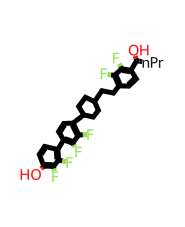 CCCC(O)c1ccc(CCC2CCC(c3ccc(-c4ccc(O)c(F)c4F)c(F)c3F)CC2)c(F)c1F